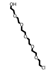 OCCOCCOCCOCCOCCOCCCl